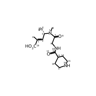 C/C(=C\[C@H](C(C)C)N(C)C(=O)CNC(=O)C1CCNCC1)C(=O)O